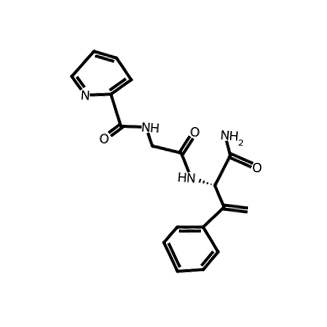 C=C(c1ccccc1)[C@H](NC(=O)CNC(=O)c1ccccn1)C(N)=O